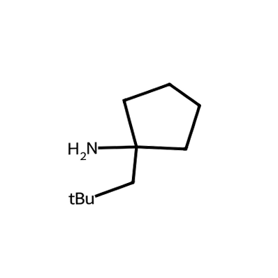 CC(C)(C)CC1(N)CCCC1